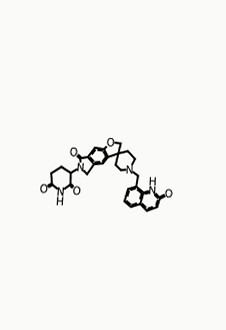 O=C1CCC(N2Cc3cc4c(cc3C2=O)OCC42CCN(Cc3cccc4ccc(=O)[nH]c34)CC2)C(=O)N1